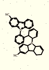 N#CC1=CC2C3CCC=CC3N(C3C=CC=CC3c3ccccc3-n3c4ccccc4c4cc(C#N)ccc43)C2C=C1